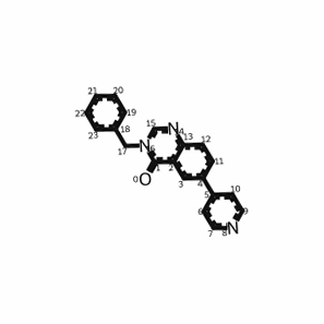 O=c1c2cc(-c3ccncc3)ccc2ncn1Cc1ccccc1